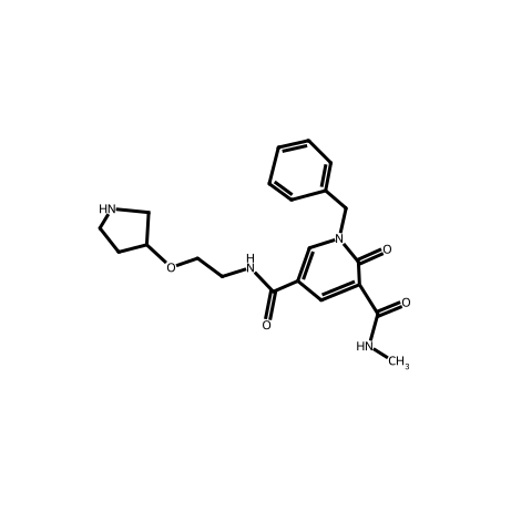 CNC(=O)c1cc(C(=O)NCCOC2CCNC2)cn(Cc2ccccc2)c1=O